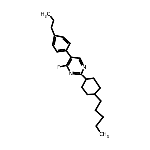 CCCCCC1CCC(c2ncc(-c3ccc(CCC)cc3)c(F)n2)CC1